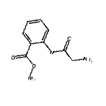 CC(C)(C)OC(=O)c1ccccc1[N]C(=O)CN